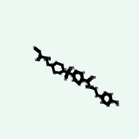 C=CC(=O)NCC1CCN(S(=O)(=O)c2ccc(C(=O)NCCc3ccc(Cl)cc3)cc2)CC1